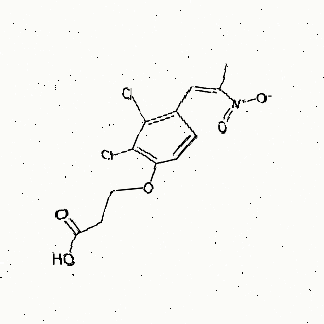 CC(=Cc1ccc(OCCC(=O)O)c(Cl)c1Cl)[N+](=O)[O-]